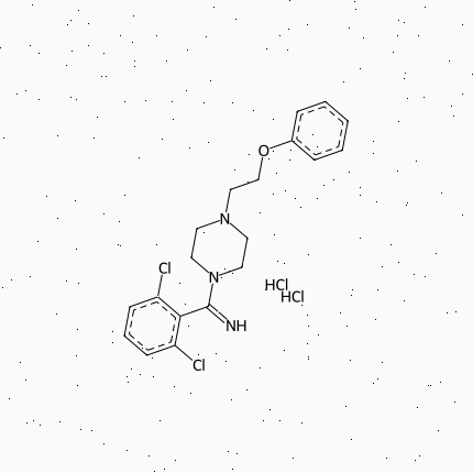 Cl.Cl.N=C(c1c(Cl)cccc1Cl)N1CCN(CCOc2ccccc2)CC1